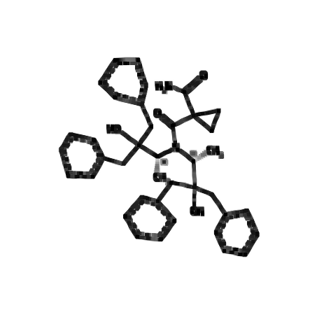 C[C@@H](N(C(=O)C1(C(N)=O)CC1)[C@H](C)C(O)(Cc1ccccc1)Cc1ccccc1)C(O)(Cc1ccccc1)Cc1ccccc1